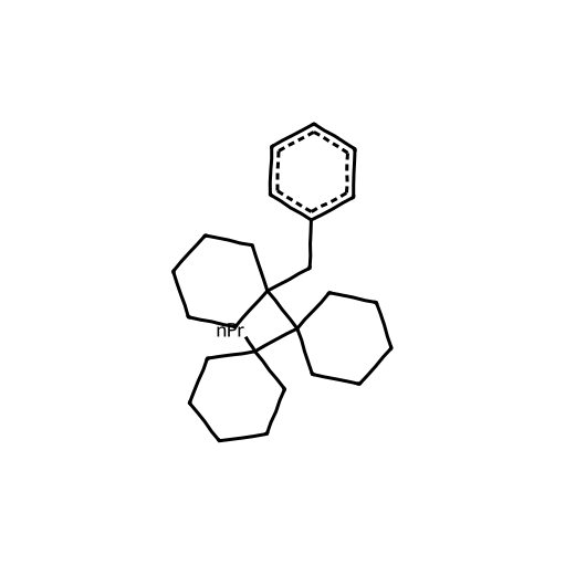 CCCC1(C2(C3(Cc4ccccc4)CCCCC3)CCCCC2)CCCCC1